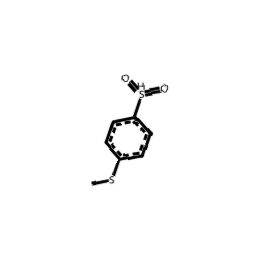 CSc1ccc([SH](=O)=O)cc1